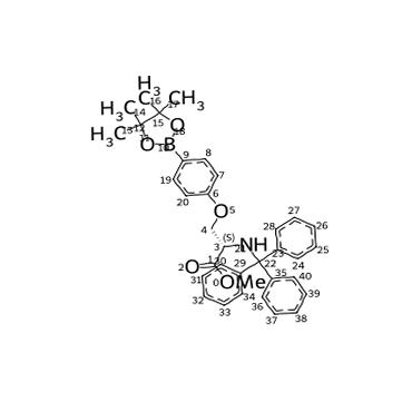 COC(=O)[C@H](COc1ccc(B2OC(C)(C)C(C)(C)O2)cc1)NC(c1ccccc1)(c1ccccc1)c1ccccc1